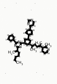 C=C(/C=C\C=C/C)c1nc(-c2ccccc2)nc(-c2cc(/C(C)=C/C=C(\C)c3cccnc3C)cc(-c3ccc(-c4ccncn4)cc3)c2)n1